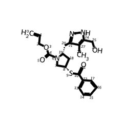 C=CCOC(=O)N1C[C@@H](SC(=O)c2ccccc2)C[C@H]1Cc1n[nH]c(CO)c1C